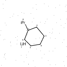 CC(C)[C]1CCCCC1.[LiH]